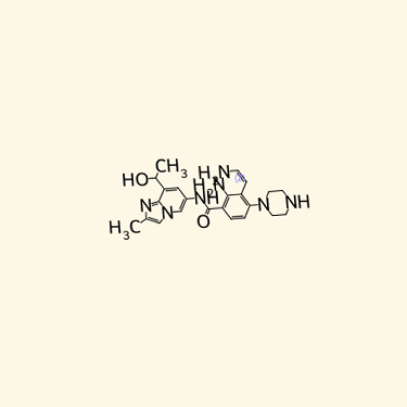 Cc1cn2cc(NC(=O)c3ccc(N4CCNCC4)c(/C=C\N)c3N)cc(C(C)O)c2n1